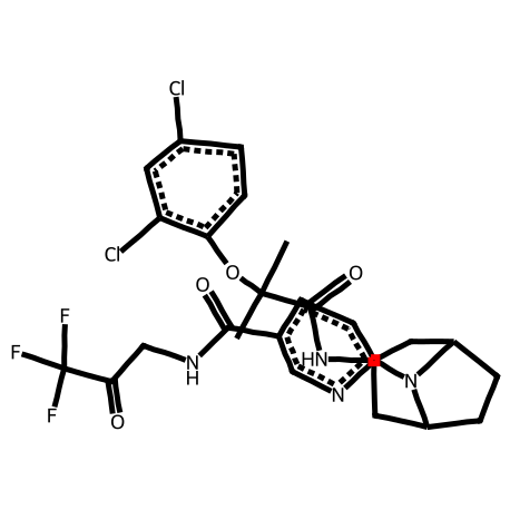 CC(C)(Oc1ccc(Cl)cc1Cl)C(=O)NC1CC2CCC(C1)N2c1ccc(C(=O)NCC(=O)C(F)(F)F)cn1